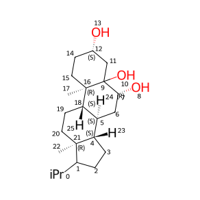 CC(C)C1CC[C@H]2[C@@H]3C[C@@H](O)C4(O)C[C@@H](O)CC[C@]4(C)[C@H]3CC[C@]12C